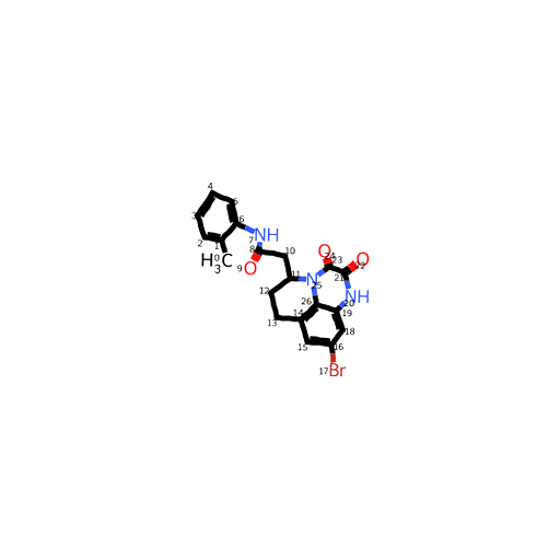 Cc1ccccc1NC(=O)CC1CCc2cc(Br)cc3[nH]c(=O)c(=O)n1c23